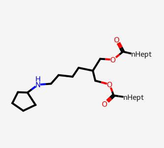 CCCCCCCC(=O)OCC(CCCCNC1CCCC1)COC(=O)CCCCCCC